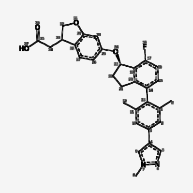 Cc1cc(-c2cnn(C)c2)cc(C)c1-c1ccc(F)c2c1CC[C@H]2Oc1ccc2c(c1)OCC2CC(=O)O